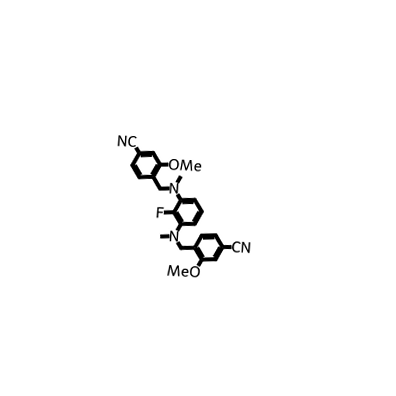 COc1cc(C#N)ccc1CN(C)c1cccc(N(C)Cc2ccc(C#N)cc2OC)c1F